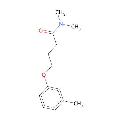 Cc1[c]ccc(OCCCC(=O)N(C)C)c1